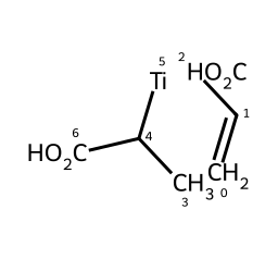 C=CC(=O)O.C[CH]([Ti])C(=O)O